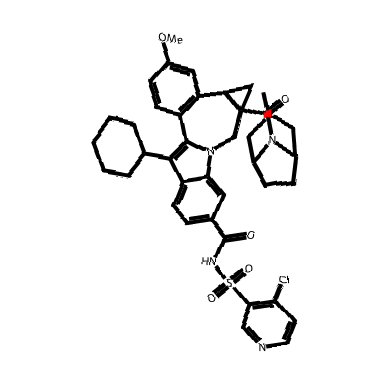 COc1ccc2c(c1)C1CC1(C(=O)N1C3CCC1CN(C)C3)Cn1c-2c(C2CCCCC2)c2ccc(C(=O)NS(=O)(=O)c3cnccc3Cl)cc21